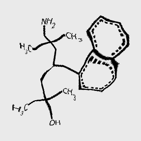 CC(C)(O)C[C@H](c1cccc2ccccc12)C(C)(C)N